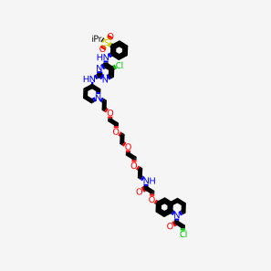 CC(C)S(=O)(=O)c1ccccc1Nc1nc(N[C@@H]2CCCN(CCOCCOCCOCCOCCNC(=O)COc3ccc4c(c3)CCCN4C(=O)CCl)C2)ncc1Cl